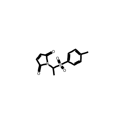 Cc1ccc(S(=O)(=O)C(C)N2C(=O)C=CC2=O)cc1